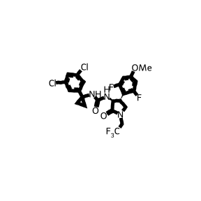 COc1cc(F)c([C@@H]2CN(CC(F)(F)F)C(=O)[C@H]2NC(=O)NC2(c3cc(Cl)cc(Cl)c3)CC2)c(F)c1